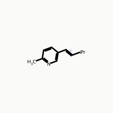 Cc1ccc(/C=C/C(C)C)cn1